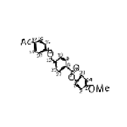 COc1ccc(OC(=O)c2ccc(COc3ccc(C(C)=O)cc3)cc2)cc1